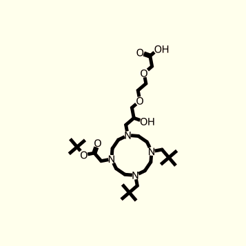 CC(C)(C)CN1CCN(CC(=O)OC(C)(C)C)CCN(CC(O)COCCOCC(=O)O)CCN(CC(C)(C)C)CC1